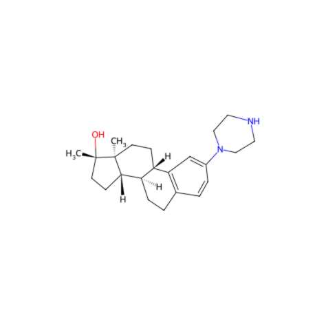 C[C@]1(O)CC[C@H]2[C@@H]3CCc4ccc(N5CCNCC5)cc4[C@H]3CC[C@@]21C